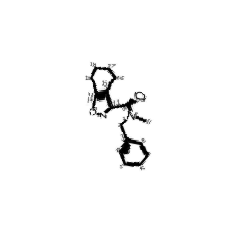 CN(Cc1ccccc1)C(=O)c1noc2c1CCCC2